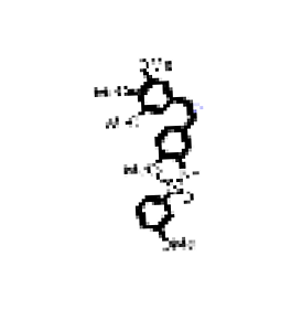 COc1cccc(S(=O)(=O)Nc2cc(/C=C\c3cc(OC)c(OC)c(OC)c3)ccc2OC)c1